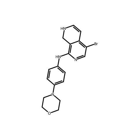 Brc1cnc(Nc2ccc(N3CCOCC3)cc2)c2c1C=CNC2